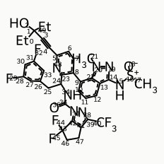 CCC(O)(C#Cc1ccc(-c2cccc3c(N[S+](C)[O-])nn(C)c23)c(C(Cc2cc(F)cc(F)c2)NC(=O)n2nc(C(F)(F)F)c3c2C(F)(F)CC3)n1)CC